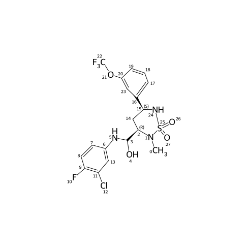 CN1[C@@H](C(O)Nc2ccc(F)c(Cl)c2)C[C@@H](c2cccc(OC(F)(F)F)c2)NS1(=O)=O